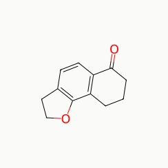 O=C1CCCc2c1ccc1c2OCC1